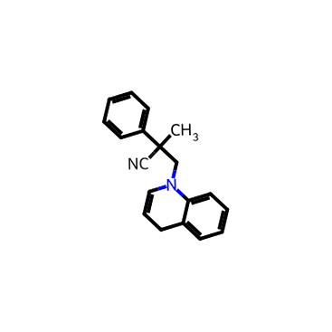 CC(C#N)(CN1C=CCc2ccccc21)c1ccccc1